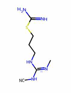 C/N=C(/NC#N)NCCCSC(=N)N